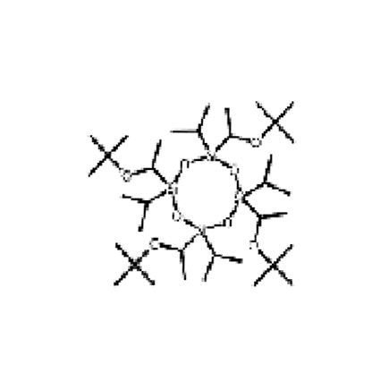 CC(C)[Si]1(C(C)OC(C)(C)C)O[Si](C(C)C)(C(C)OC(C)(C)C)O[Si](C(C)C)(C(C)OC(C)(C)C)O[Si](C(C)C)(C(C)OC(C)(C)C)O1